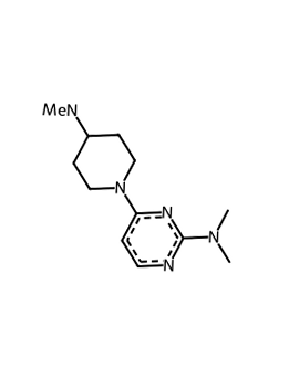 CNC1CCN(c2ccnc(N(C)C)n2)CC1